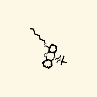 CCCCCCSc1cccc2c1Oc1ccccc1N2[Si](C)(C)C(C)(C)C